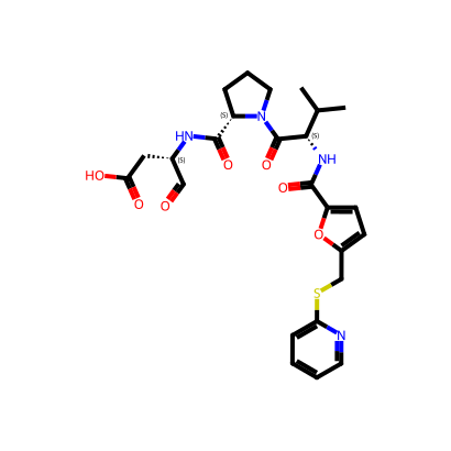 CC(C)[C@H](NC(=O)c1ccc(CSc2ccccn2)o1)C(=O)N1CCC[C@H]1C(=O)N[C@H](C=O)CC(=O)O